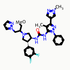 COCC(Cn1cccn1)N1C[C@@H](NC(=O)Nc2c(C)c(-c3cnn(C)c3)nn2-c2ccccc2)[C@H](c2ccc(F)c(F)c2)C1